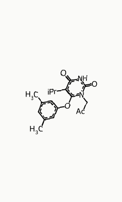 CC(=O)Cn1c(Oc2cc(C)cc(C)c2)c(C(C)C)c(=O)[nH]c1=O